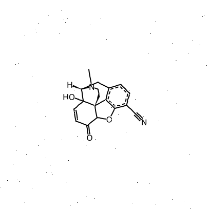 CN1CC[C@@]23c4c5ccc(C#N)c4OC2C(=O)C=CC3(O)[C@@H]1C5